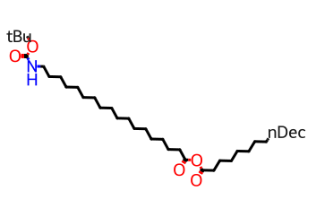 CCCCCCCCCCCCCCCCCC(=O)OC(=O)CCCCCCCCCCCCCCCCCNC(=O)OC(C)(C)C